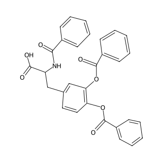 O=C(NC(Cc1ccc(OC(=O)c2ccccc2)c(OC(=O)c2ccccc2)c1)C(=O)O)c1ccccc1